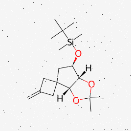 C=C1CC2(C1)C[C@@H](O[Si](C)(C)C(C)(C)C)[C@@H]1OC(C)(C)O[C@@H]12